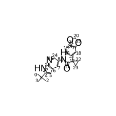 CC(C)(C)c1cc2cc(NC(=O)C3(c4ccc5c(c4)OCO5)CC3)cnc2[nH]1